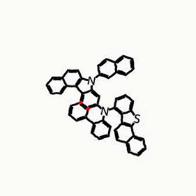 c1ccc(-c2ccccc2N(c2ccc3c4c5ccccc5ccc4n(-c4ccc5ccccc5c4)c3c2)c2cccc3sc4c5ccccc5ccc4c23)cc1